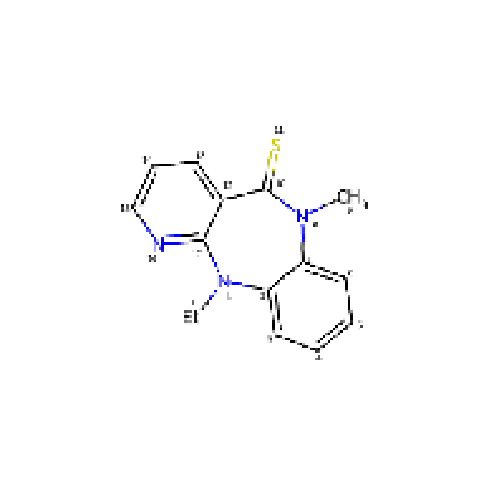 CCN1c2ccccc2N(C)C(=S)c2cccnc21